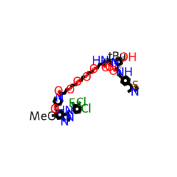 COc1cc2ncnc(Nc3ccc(Cl)c(Cl)c3F)c2cc1OC1CCN(C(=O)CCOCCOCCOCCOCCC(=O)N[C@@H](C(=O)N2C[C@H](O)C[C@H]2C(=O)NCc2ccc(-c3scnc3C)cc2)C(C)(C)C)CC1